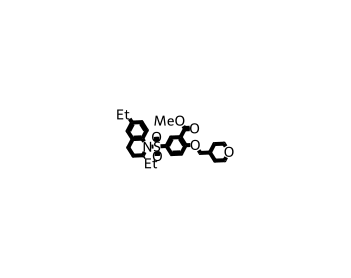 CCc1ccc2c(c1)CC[C@@H](CC)N2S(=O)(=O)c1ccc(OCC2CCOCC2)c(C(=O)OC)c1